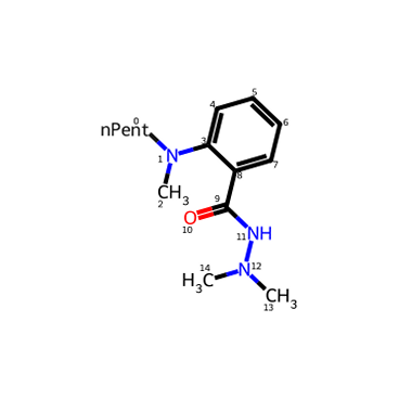 CCCCCN(C)c1ccccc1C(=O)NN(C)C